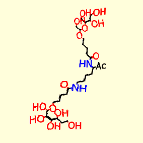 CC(=O)C(CCCCNC(=O)CCCCOC(O)/C(O)=C(/O)C(O)CCO)NC(=O)CCCCOC(CO)OC(CO)C(O)CO